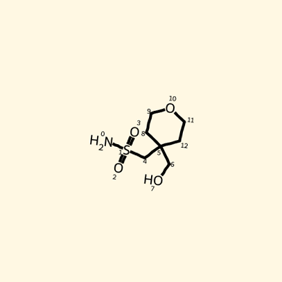 NS(=O)(=O)CC1(CO)CCOCC1